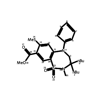 CCCCC1(CCCC)CN(c2ccccc2)c2cc(SC)c(C(=O)OC)cc2S(=O)(=O)N1C